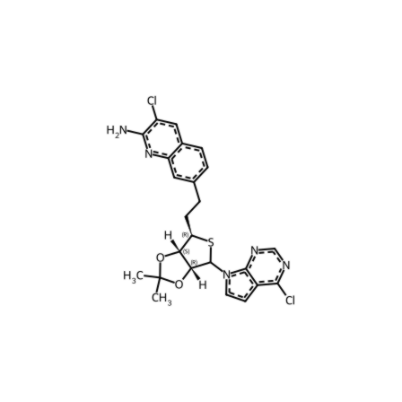 CC1(C)O[C@@H]2[C@@H](CCc3ccc4cc(Cl)c(N)nc4c3)SC(n3ccc4c(Cl)ncnc43)[C@@H]2O1